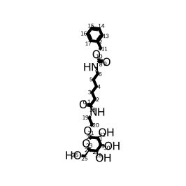 O=C(CCCCCNC(=O)OCc1ccccc1)NCCO[C@H]1O[C@H](CO)[C@@H](O)[C@H](O)[C@H]1O